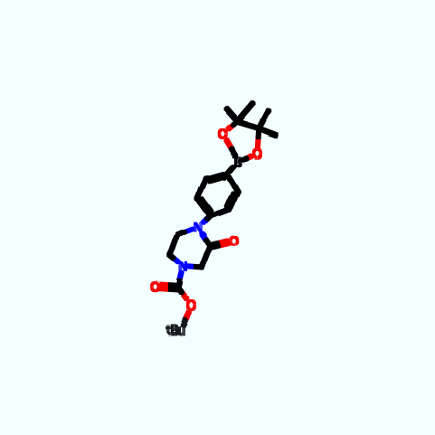 CC(C)(C)OC(=O)N1CCN(c2ccc(B3OC(C)(C)C(C)(C)O3)cc2)C(=O)C1